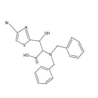 O=C(O)C(C(O)c1nc(Br)cs1)N(Cc1ccccc1)Cc1ccccc1